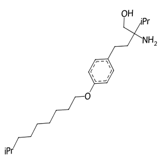 CC(C)CCCCCCCOc1ccc(CCC(N)(CO)C(C)C)cc1